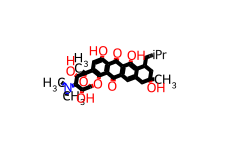 CC(C)CC1CC(C)(O)Cc2cc3c(c(O)c21)C(=O)c1c(O)cc2c(c1C3=O)OC1OC2(C)C(O)C(N(C)C)C1O